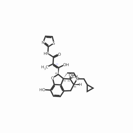 C/C(C(=O)Nc1nccs1)=C(/O)[C@@H]1Oc2c(O)ccc3c2[C@@]12CCN(CC1CC1)[C@H](C3)[C@@]2(C)O